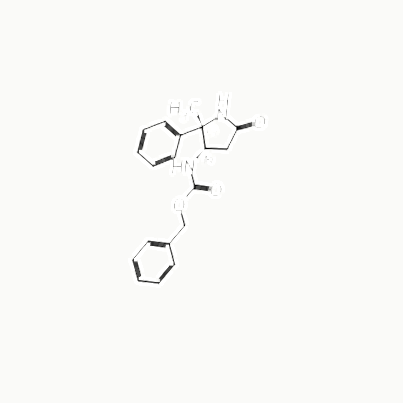 C[C@@]1(c2ccccc2)NC(=O)C[C@H]1NC(=O)OCc1ccccc1